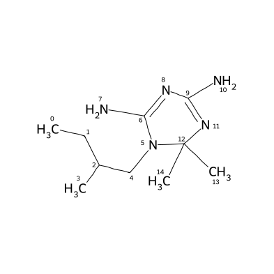 CCC(C)CN1C(N)=NC(N)=NC1(C)C